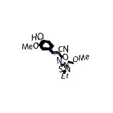 CCc1nn(CCOC)/c(=N\C(=O)/C(C#N)=C/c2ccc(O)c(OC)c2)s1